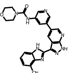 N#Cc1cccc2[nH]c(-c3n[nH]c4ncc(-c5cncc(NC(=O)N6CCOCC6)c5)cc34)nc12